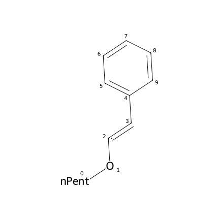 CCCCCO/[C]=C/c1ccccc1